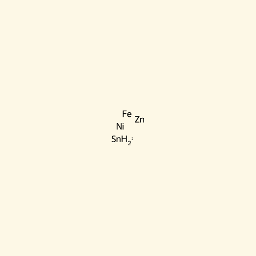 [Fe].[Ni].[SnH2].[Zn]